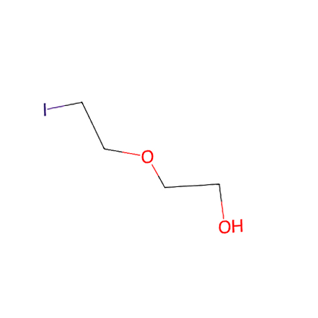 OCCOCCI